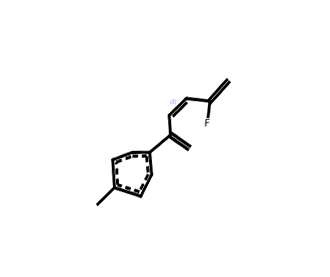 C=C(F)/C=C\C(=C)c1ccc(C)cc1